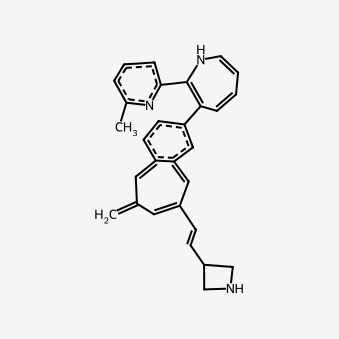 C=C1C=C(/C=C/C2CNC2)C=c2cc(C3=C(c4cccc(C)n4)NC=CC=C3)ccc2=C1